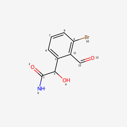 [NH]C(=O)C(O)c1cccc(Br)c1C=O